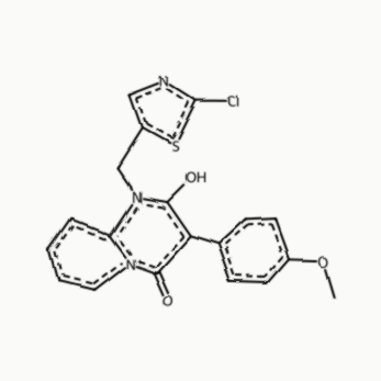 COc1ccc(-c2c(O)n(Cc3cnc(Cl)s3)c3cccc[n+]3c2=O)cc1